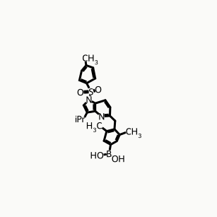 Cc1ccc(S(=O)(=O)n2cc(C(C)C)c3nc(Cc4c(C)cc(B(O)O)cc4C)ccc32)cc1